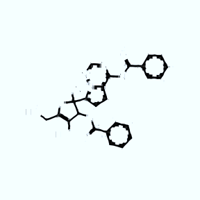 CC1=C(CO)OC(C#N)(c2ccc3c(NC(=O)c4ccccc4)ncnn23)C1OC(=O)c1ccccc1